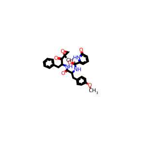 COc1ccc(CC(NC(=O)c2cccc(=O)[nH]2)C(=O)NC(Cc2ccccc2)C(=O)C2(C)CO2)cc1